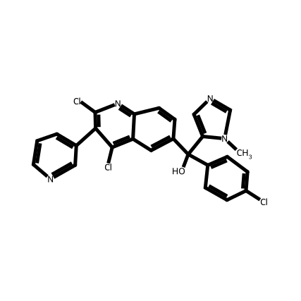 Cn1cncc1C(O)(c1ccc(Cl)cc1)c1ccc2nc(Cl)c(-c3cccnc3)c(Cl)c2c1